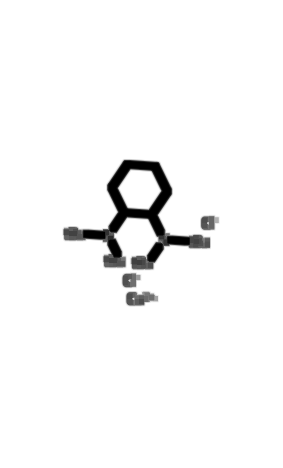 CC(C)(C)N(C1CCCCC1N(C(C)(C)C)C(C)(C)C)C(C)(C)C.[Cl-].[Cl-].[Cu+2]